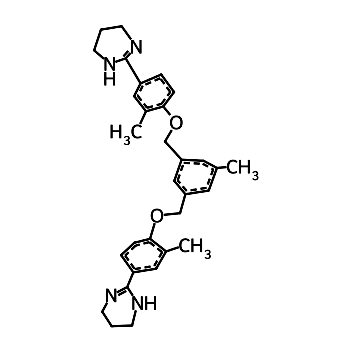 Cc1cc(COc2ccc(C3=NCCCN3)cc2C)cc(COc2ccc(C3=NCCCN3)cc2C)c1